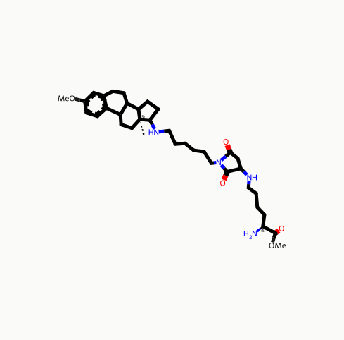 COC(=O)[C@@H](N)CCCCNC1CC(=O)N(CCCCCCNC2CCC3C4CCc5cc(OC)ccc5C4CC[C@]23C)C1=O